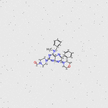 CN(Cc1ccccc1)c1nc(N2CCN(C=O)CC2)nc2nc(N3CCOCC3)c(-c3ccccc3)nc12